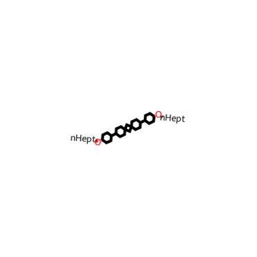 CCCCCCCOC1CCC(C2CCC3(CC2)CC2(CCC(C4CCC(OCCCCCCC)CC4)CC2)C3)CC1